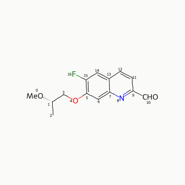 CO[C@@H](C)COc1cc2nc(C=O)ccc2cc1F